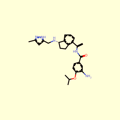 C=C(NC(=O)c1ccc(OC(C)C)c(N)c1)c1cccc2c1CC[C@@H]2NCc1cc(C)n[nH]1